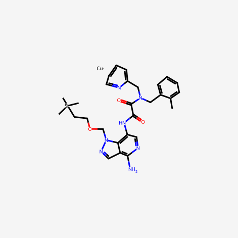 Cc1ccccc1CN(Cc1ccccn1)C(=O)C(=O)Nc1cnc(N)c2cnn(COCC[Si](C)(C)C)c12.[Cu]